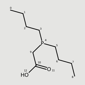 CCCCP(CCCC)CC(=O)O